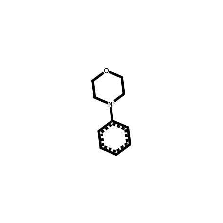 c1ccc([N+]2CCOCC2)cc1